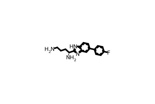 NCCC[C@@H](N)c1nc2cc(-c3ccc(F)cc3)ccc2[nH]1